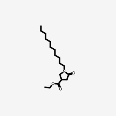 CCCCCCCCCCCN1CC(C(=O)OCC)CC1=O